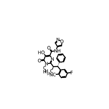 C[C@@H](c1nc(C(=O)Nc2cnoc2)c(O)c(=O)n1C)[C@H](c1ccccc1)c1cc(F)ccc1C#N